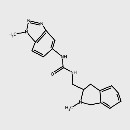 CN1Cc2ccccc2CC1CNC(=O)Nc1ccc2c(c1)nnn2C